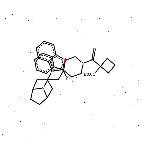 CCOC(=O)C1(C(=O)N2CCC(CCN3C4CCC3CC(n3c(C)nc5ccccc53)C4)(c3ccccc3)CC2)CCC1